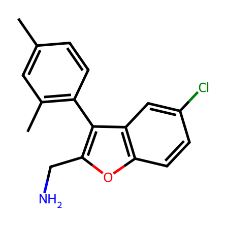 Cc1ccc(-c2c(CN)oc3ccc(Cl)cc23)c(C)c1